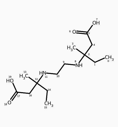 CCC(C)(CC(=O)O)NCCNC(C)(CC)CC(=O)O